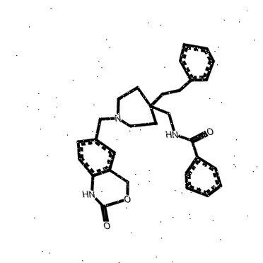 O=C1Nc2ccc(CN3CCC(CCc4ccccc4)(CNC(=O)c4ccccc4)CC3)cc2CO1